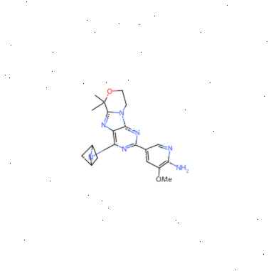 COc1cc(-c2nc(N3CC4CC3C4)c3nc4n(c3n2)CCOC4(C)C)cnc1N